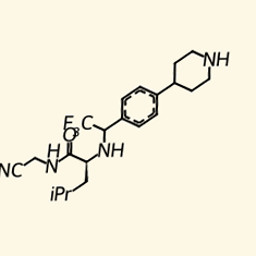 CC(C)C[C@H](NC(c1ccc(C2CCNCC2)cc1)C(F)(F)F)C(=O)NCC#N